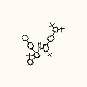 CC(C)(C)c1cc(Nc2ccc3c(c2-c2ccc(C4CCCCC4)cc2)C(C)(C)c2ccccc2-3)cc(-c2ccc(-c3cc(C(C)(C)C)cc(C(C)(C)C)c3)cc2)c1